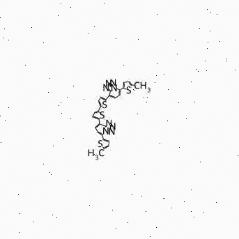 Cc1ccc(-c2ccc(-c3ccc(-c4ccc(-c5ccc(-c6ccc(C)s6)n6nnnc56)s4)s3)c3nnnn23)s1